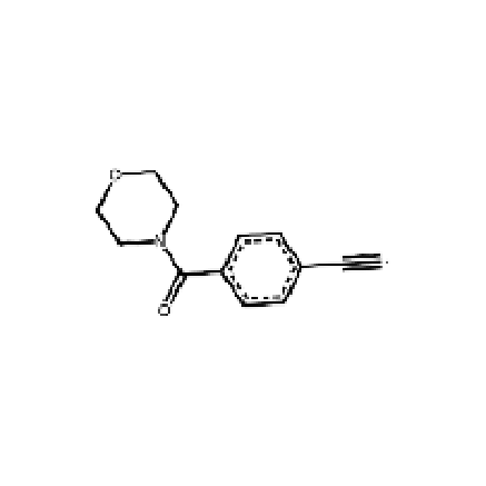 [C]#Cc1ccc(C(=O)N2CCOCC2)cc1